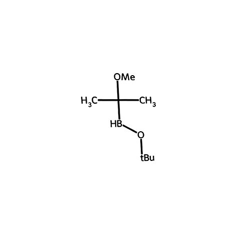 COC(C)(C)BOC(C)(C)C